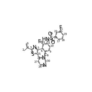 C=C(C)c1nc(-c2c(F)ccc(NS(=O)(=O)c3cccc(F)c3)c2F)c(-c2ccncn2)s1